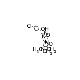 Cc1c(N(C)C)cnn(Cc2nc(C[C@H](O)c3ccc(Cl)cc3)no2)c1=O